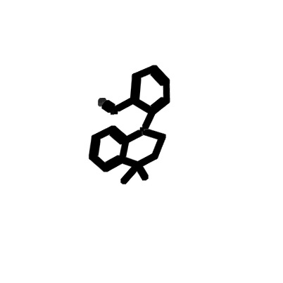 CC1(C)CCN(c2ccccc2N=O)c2ccccc21